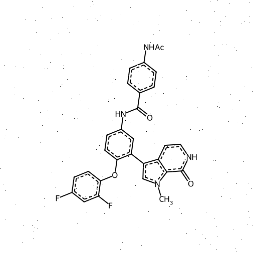 CC(=O)Nc1ccc(C(=O)Nc2ccc(Oc3ccc(F)cc3F)c(-c3cn(C)c4c(=O)[nH]ccc34)c2)cc1